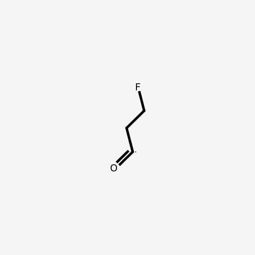 O=[C]CCF